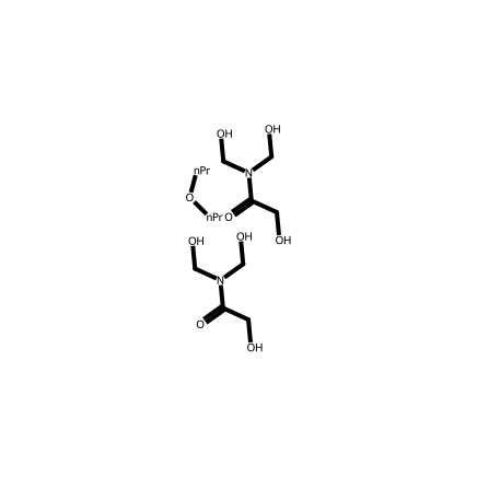 CCCOCCC.O=C(CO)N(CO)CO.O=C(CO)N(CO)CO